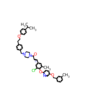 Cc1cccc(COc2ccc(Oc3c(C)cc(/C=C/C(=O)N4CCN(Cc5ccc(CCOc6ccc(C(C)C)cc6)cc5)CC4)cc3Cl)nc2)c1